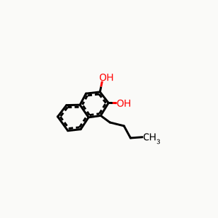 CCCCc1c(O)c(O)cc2ccccc12